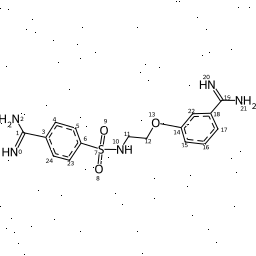 N=C(N)c1ccc(S(=O)(=O)NCCOc2cccc(C(=N)N)c2)cc1